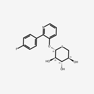 O[C@@H]1[C@@H](O)[C@H](Oc2cccnc2-c2ccc(F)cc2)SC[C@H]1O